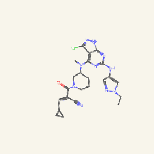 CCn1cc(Nc2nc(N(C)C3CCCN(C(=O)/C(C#N)=C/C4CC4)C3)c3c(Cl)n[nH]c3n2)cn1